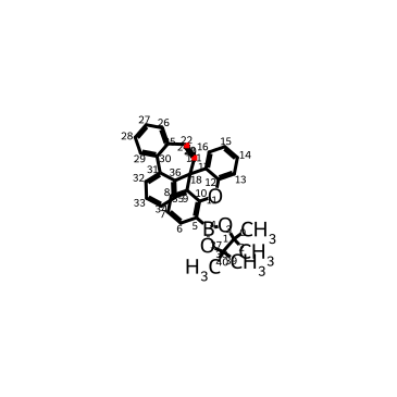 CC1(C)OB(c2cccc3c2Oc2ccccc2C32c3ccccc3-c3ccccc3-c3ccccc32)OC1(C)C